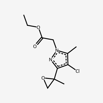 CCOC(=O)Cn1nc(C2(C)CO2)c(Cl)c1C